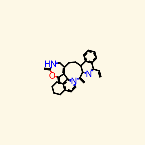 C=CC1=NC2C(=C)[n+]3ccc4c(c3C3=C(CCC2c2ccccc21)CNC(=C)OC3=C)CCCC4